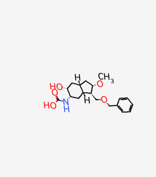 CO[C@H]1C[C@H]2C[C@@H](O)[C@@H](NC(=O)O)C[C@H]2[C@@H]1COCc1ccccc1